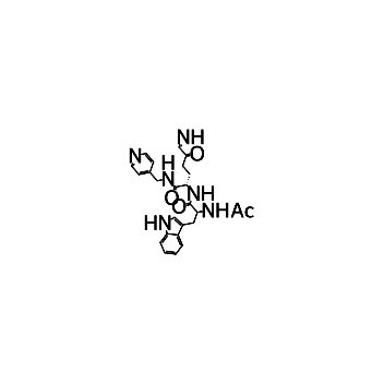 CC(=O)N[C@@H](Cc1c[nH]c2ccccc12)C(=O)N[C@@H](CCC(=O)C=N)C(=O)NCc1ccncc1